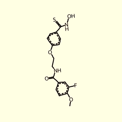 COc1ccc(C(=O)NCCOc2ccc(C(=S)NO)cc2)cc1F